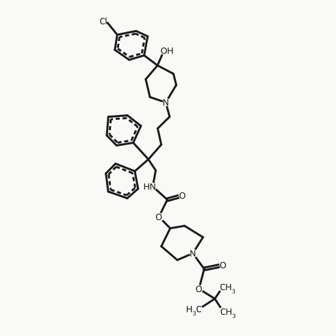 CC(C)(C)OC(=O)N1CCC(OC(=O)NCC(CCCN2CCC(O)(c3ccc(Cl)cc3)CC2)(c2ccccc2)c2ccccc2)CC1